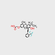 Cc1cc(OCC(=O)O)cc(C)c1Cc1cc(C#Cc2ccccc2C(F)(F)F)c(O)c(C(C)C)c1